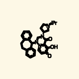 CC(C)N1CC[C@@H](N2CN(C3c4ccccc4CCc4ccccc43)n3ccc(=O)c(O)c3C2=O)C1